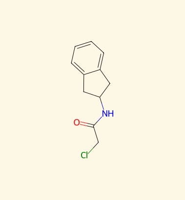 O=C(CCl)NC1Cc2ccccc2C1